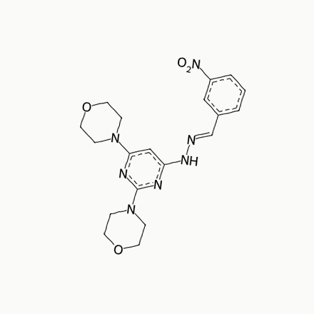 O=[N+]([O-])c1cccc(C=NNc2cc(N3CCOCC3)nc(N3CCOCC3)n2)c1